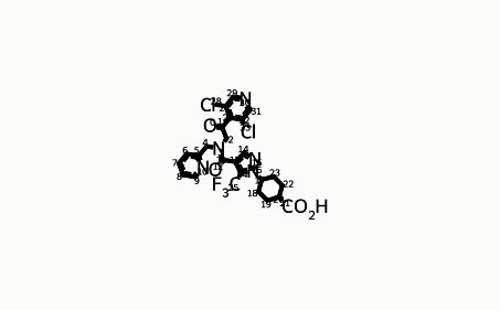 O=C(CN(Cc1ccccn1)C(=O)c1cnn(C2CCC(C(=O)O)CC2)c1C(F)(F)F)c1c(Cl)cncc1Cl